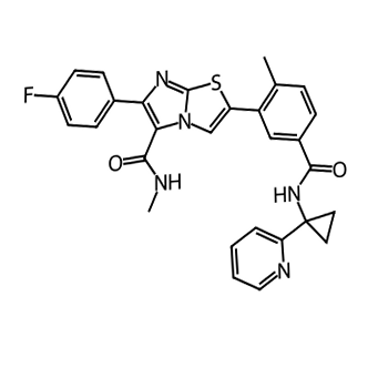 CNC(=O)c1c(-c2ccc(F)cc2)nc2sc(-c3cc(C(=O)NC4(c5ccccn5)CC4)ccc3C)cn12